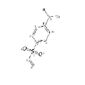 C=CS(=O)(=O)c1ccc(C(C)C)cc1